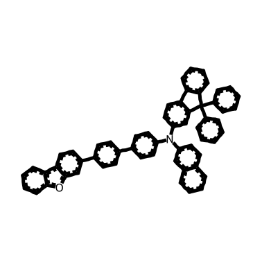 c1ccc(C2(c3ccccc3)c3ccccc3-c3ccc(N(c4ccc(-c5ccc(-c6ccc7c(c6)oc6ccccc67)cc5)cc4)c4ccc5ccccc5c4)cc32)cc1